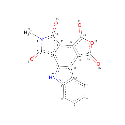 Cn1c(=O)c2c3[nH]c4ccccc4c3c3c(=O)oc(=O)c3c2c1=O